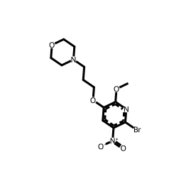 COc1nc(Br)c([N+](=O)[O-])cc1OCCCN1CCOCC1